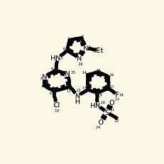 CCn1ccc(Nc2ncc(Cl)c(Nc3cccc(F)c3NS(C)(=O)=O)n2)n1